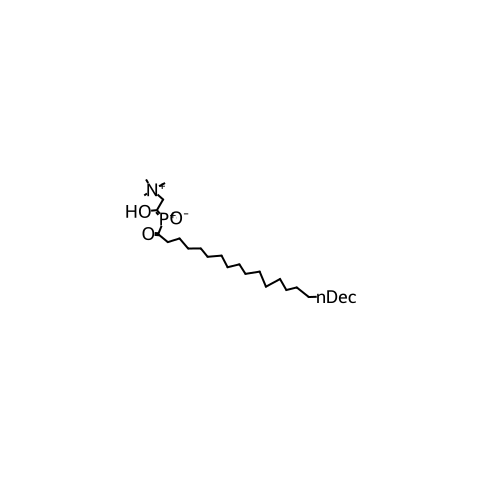 CCCCCCCCCCCCCCCCCCCCCCCCCC(=O)[P+]([O-])=C(O)C[N+](C)(C)C